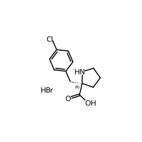 Br.O=C(O)[C@]1(Cc2ccc(Cl)cc2)CCCN1